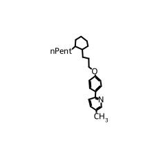 CCCCCC1CCCCC1CCCOc1ccc(-c2ccc(C)cn2)cc1